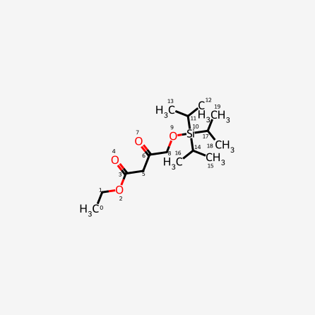 CCOC(=O)CC(=O)CO[Si](C(C)C)(C(C)C)C(C)C